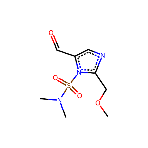 COCc1ncc(C=O)n1S(=O)(=O)N(C)C